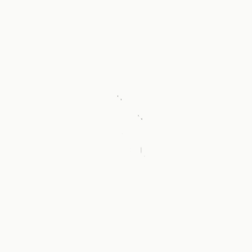 C=C1CC=NC=N1